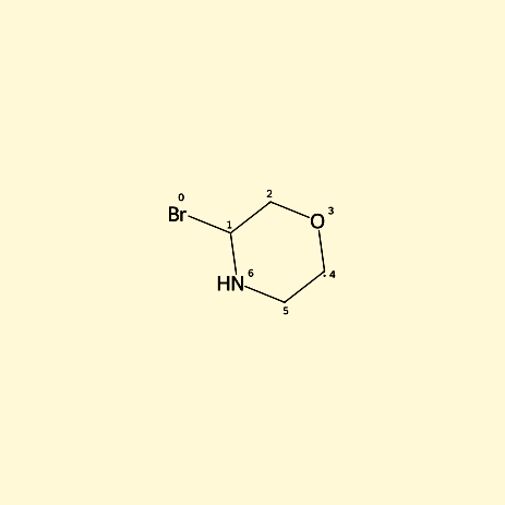 BrC1CO[CH]CN1